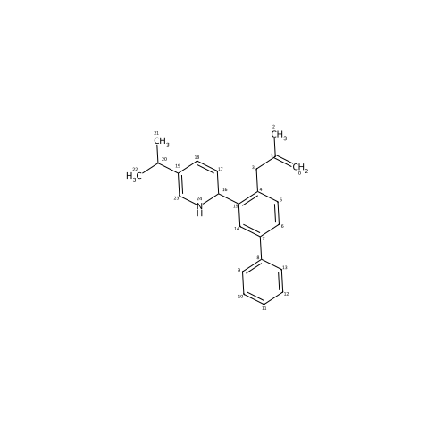 C=C(C)Cc1ccc(-c2ccccc2)cc1C1C=CC(C(C)C)=CN1